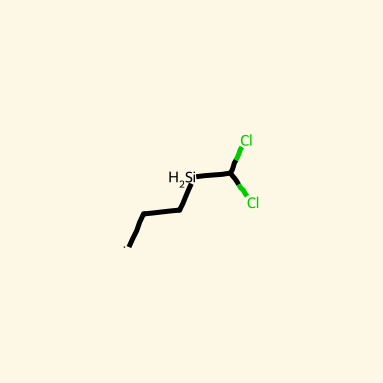 [CH2]CC[SiH2]C(Cl)Cl